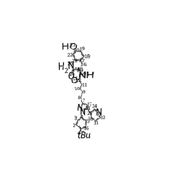 CC(C)(C)c1ccc(-n2nc(CCCCC(=O)N[C@@H](Cc3ccc(O)cc3)C(N)=O)cc2-c2cccnc2)cc1